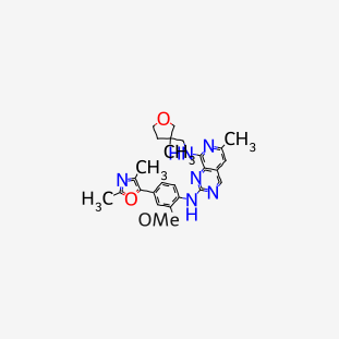 COc1cc(-c2oc(C)nc2C)ccc1Nc1ncc2cc(C)nc(NCC3(C)CCOC3)c2n1